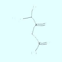 CCC(C(=O)O)C(=S)CC(N)=O